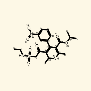 CCNS(=O)(=O)CC(=O)C1=C(c2cccc([N+](=O)[O-])c2)C(C(=O)OC(C)C)=C(C)NC1C